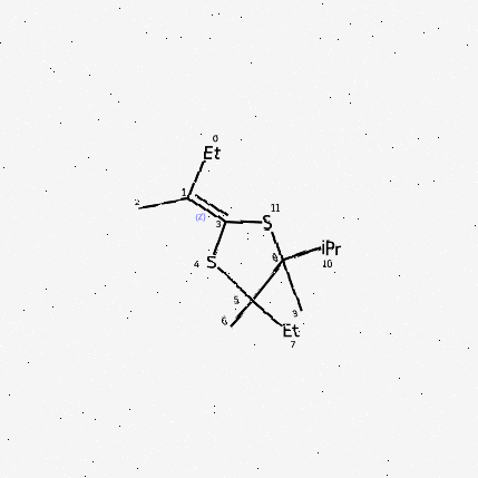 CC/C(C)=C1/SC(C)(CC)C(C)(C(C)C)S1